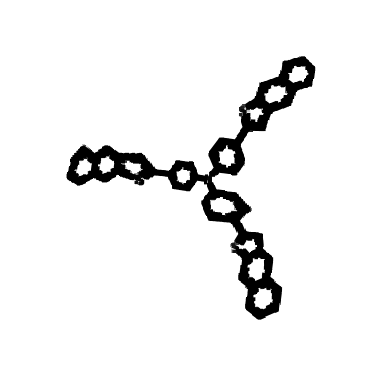 c1ccc2cc3sc(-c4ccc(N(c5ccc(-c6cc7cc8ccccc8cc7s6)cc5)c5ccc(-c6cc7cc8ccccc8cc7s6)cc5)cc4)cc3cc2c1